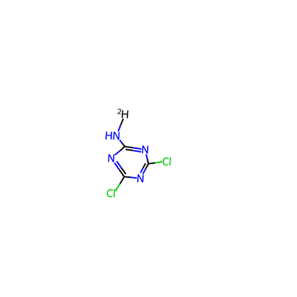 [2H]Nc1nc(Cl)nc(Cl)n1